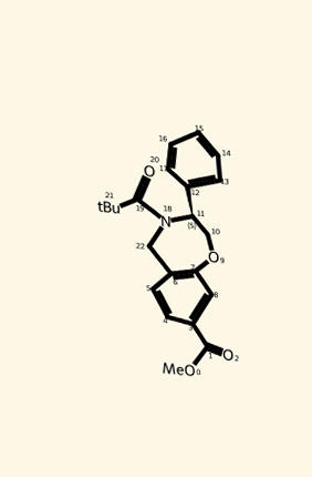 COC(=O)c1ccc2c(c1)OC[C@H](c1ccccc1)N(C(=O)C(C)(C)C)C2